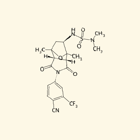 CN(C)S(=O)(=O)N[C@@H]1CC2(C)OC1(C)[C@@H]1C(=O)N(c3ccc(C#N)c(C(F)(F)F)c3)C(=O)[C@@H]12